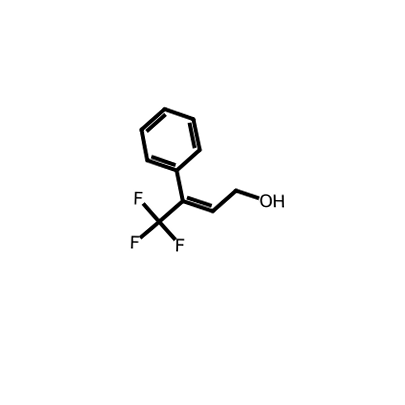 OC/C=C(\c1ccccc1)C(F)(F)F